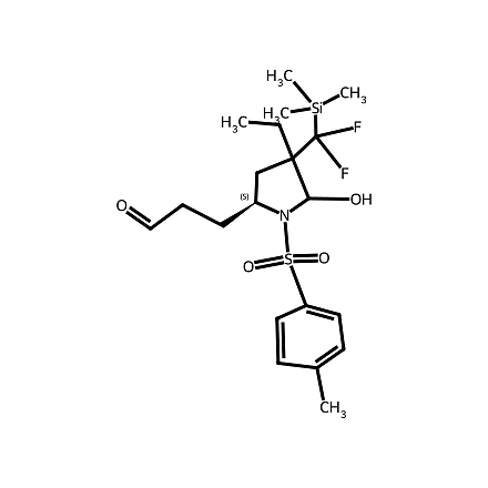 CCC1(C(F)(F)[Si](C)(C)C)C[C@H](CCC=O)N(S(=O)(=O)c2ccc(C)cc2)C1O